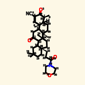 C[C@@H]1C(=O)C(C#N)=C[C@]2(C)C3CC(=O)C4C5CC(C)(C)CC[C@]5(CCC(=O)N5CCOCC5)CC[C@@]4(C)[C@]3(C)CC[C@@H]12